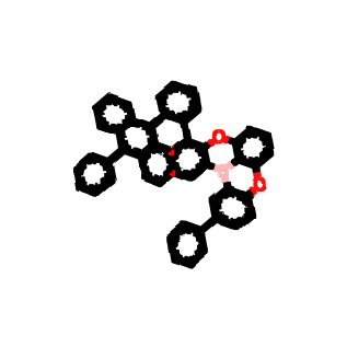 c1ccc(-c2ccc3c(c2)B2c4cccc(-c5ccccc5-c5c6ccccc6c(-c6ccccc6)c6ccccc56)c4Oc4cccc(c42)O3)cc1